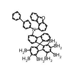 Bc1cc2c(c(B)c1B)-c1c(B)c(B)c(B)c(B)c1C21c2ccccc2-c2c(N(c3ccc(-c4ccccc4)cc3)c3cccc4oc5ccccc5c34)cccc21